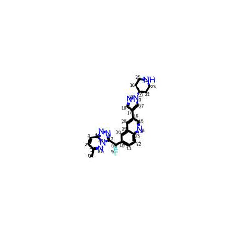 Cc1ccc2nnc(C(F)c3ccc4ncc(-c5cnn(C6CCNCC6)c5)cc4c3)n2n1